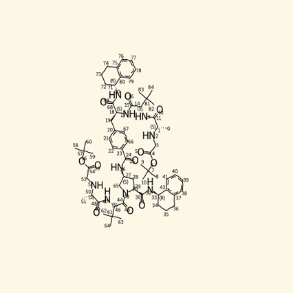 C[C@H](NCC(=O)OC(C)(C)C)C(=O)N[C@H](C(=O)N[C@@H](Cc1ccc(C(=O)N[C@H]2C[C@@H](C(=O)N[C@@H]3CCCc4ccccc43)N(C(=O)[C@@H](NC(=O)[C@H](C)NCC(=O)OC(C)(C)C)C(C)(C)C)C2)cc1)C(=O)N[C@@H]1CCCc2ccccc21)C(C)(C)C